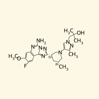 COc1cc2nc(N)n3nc([C@H]4C[C@@H](C)CN(c5cn(CC(C)(C)O)nc5C)C4)nc3c2cc1F